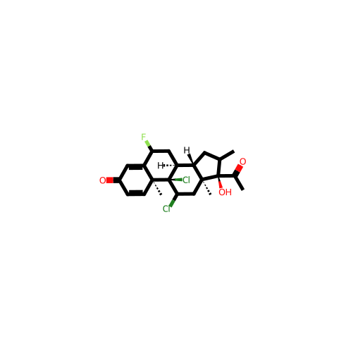 CC(=O)[C@@]1(O)C(C)C[C@H]2[C@@H]3CC(F)C4=CC(=O)C=C[C@]4(C)[C@@]3(Cl)C(Cl)C[C@@]21C